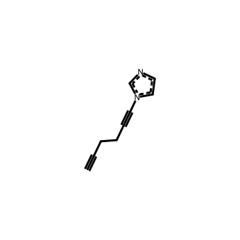 C#CCCC#Cn1ccnc1